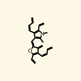 C=C/C=C\c1c(/C=c2/oc(C=C)c(/C=C\C=C)c2=C)c(C)n(C)c1C=C